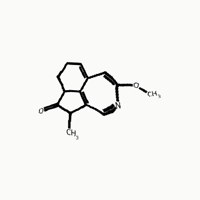 COC1=CC2=CCCC3C(=O)C(C)C(=C23)C=N1